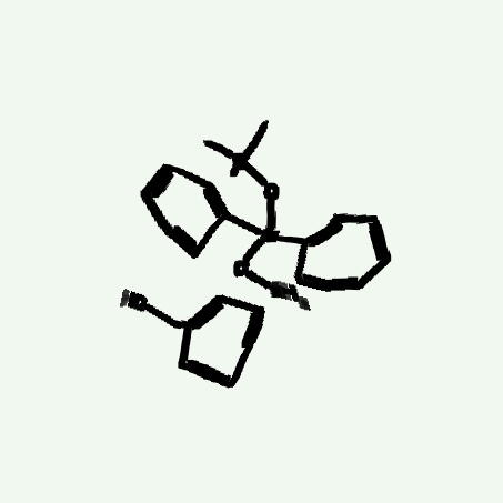 C[Si](C)(C)O[Si](O[SiH3])(c1ccccc1)c1ccccc1.Oc1ccccc1